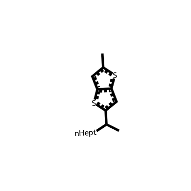 CCCCCCCC(C)c1cc2sc(C)cc2s1